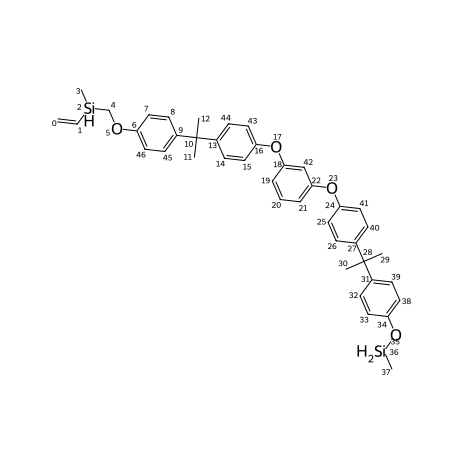 C=C[SiH](C)COc1ccc(C(C)(C)c2ccc(Oc3cccc(Oc4ccc(C(C)(C)c5ccc(O[SiH2]C)cc5)cc4)c3)cc2)cc1